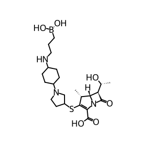 C[C@@H](O)[C@H]1C(=O)N2C(C(=O)O)=C(SC3CCN(C4CCC(NCCCB(O)O)CC4)C3)[C@H](C)[C@H]12